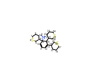 CN(C)C1(C2CCCSC2)C=CC=C(C2CCCSC2)C1C1CCCSC1